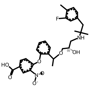 Cc1ccc(CC(C)(C)NC[C@H](O)COC(C)c2ccccc2Oc2ccc(C(=O)O)cc2[N+](=O)[O-])cc1F